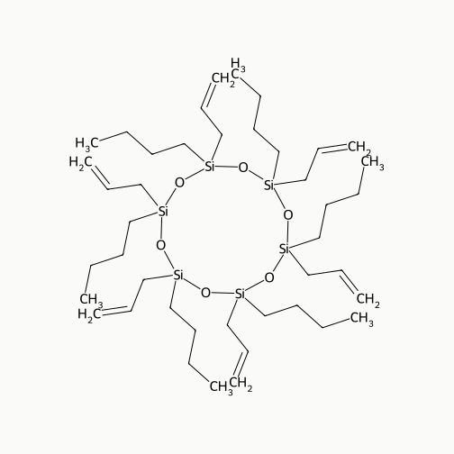 C=CC[Si]1(CCCC)O[Si](CC=C)(CCCC)O[Si](CC=C)(CCCC)O[Si](CC=C)(CCCC)O[Si](CC=C)(CCCC)O[Si](CC=C)(CCCC)O1